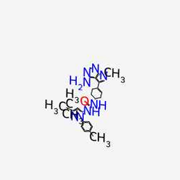 Cc1ccc(-n2nc(C(C)(C)C)cc2NC(=O)NC2CC=C(c3cn(C)c4ncnc(N)c34)CC2)cc1